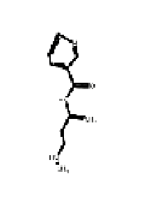 C=C(CCNC)NC(=O)c1cccnc1